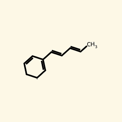 C/C=C/C=CC1=C[CH]CC=C1